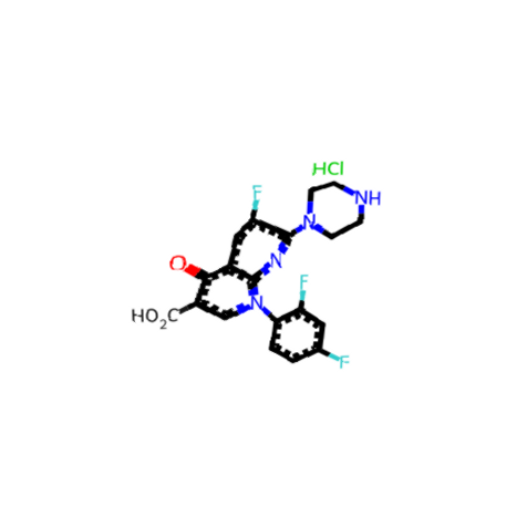 Cl.O=C(O)c1cn(-c2ccc(F)cc2F)c2nc(N3CCNCC3)c(F)cc2c1=O